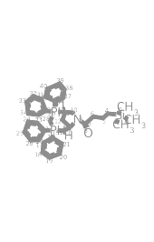 C[Si](C)(C)CCCC(=O)N1C[C@@H]2C[C@H]1C[PH](c1ccccc1)(c1ccccc1)C[PH]2(c1ccccc1)c1ccccc1